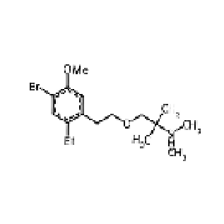 CCc1cc(Br)c(OC)cc1CCOCC(C)(C)[SiH](C)C